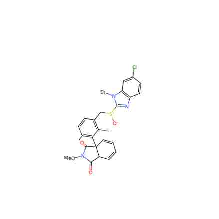 CCn1c([S+]([O-])Cc2ccc(C)c(C34C=CC=CC3C(=O)N(OC)C4=O)c2C)nc2ccc(Cl)cc21